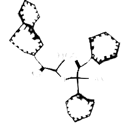 O=C(c1ccc2ccccc2c1)C(O)NC(O)(C(=O)c1ccccc1)c1ccccc1